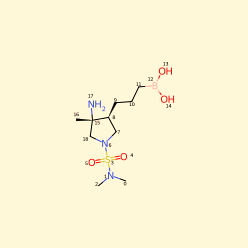 CN(C)S(=O)(=O)N1C[C@H](CCCB(O)O)[C@@](C)(N)C1